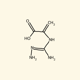 C=C(NC(N)=NN)C(=O)O